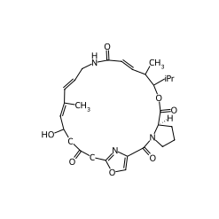 CC1=C\C(O)CC(=O)Cc2nc(co2)C(=O)N2CCC[C@@H]2C(=O)OC(C(C)C)C(C)/C=C/C(=O)NC\C=C\1